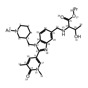 CC(=O)N1CCC[C@@H](Cn2c(-c3cc(C)c(=O)n(C)c3)nc3cc(CNC(C(=O)OC(C)C)C(C)O)ccc32)C1